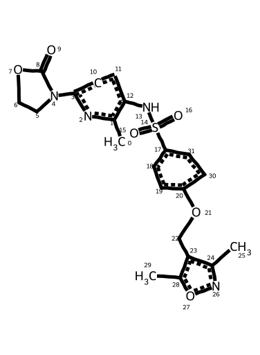 Cc1nc(N2CCOC2=O)ccc1NS(=O)(=O)c1ccc(OCc2c(C)noc2C)cc1